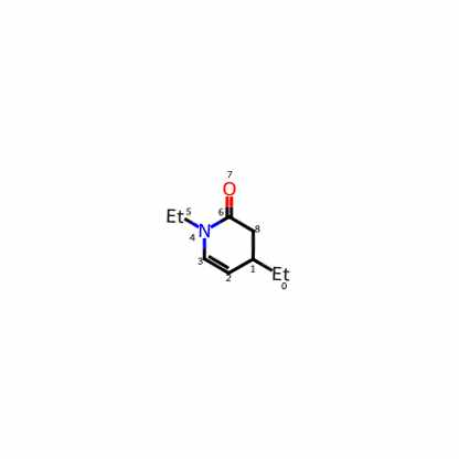 CCC1C=CN(CC)C(=O)C1